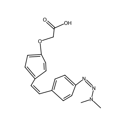 CN(C)/N=N\c1ccc(/C=C\c2ccc(OCC(=O)O)cc2)cc1